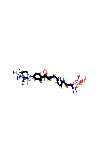 C[C@@H]1CN(c2ccc(C(=O)C=Cc3cccc(C=CC(=O)NO)n3)cc2)C[C@H](C)N1